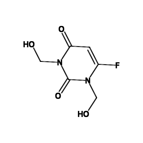 O=c1cc(F)n(CO)c(=O)n1CO